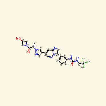 CC(C(=O)N1CC(O)C1)n1cc(-c2cnn3c(-c4cccc(NC(=O)NCC(F)(F)F)c4)cnc3c2)cn1